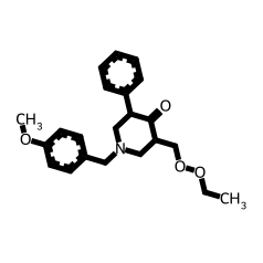 CCOOCC1CN(Cc2ccc(OC)cc2)CC(c2ccccc2)C1=O